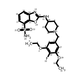 CCOc1cc(CN2CCC(Nc3nc4cccc(S(N)(=O)=O)c4o3)CC2)cc(OCC)c1F